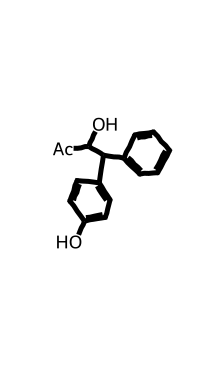 CC(=O)C(O)C(c1ccccc1)c1ccc(O)cc1